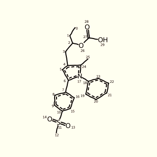 CCC(Cc1cc(-c2ccc(S(C)(=O)=O)cc2)n(-c2ccccc2)c1C)OC(=O)O